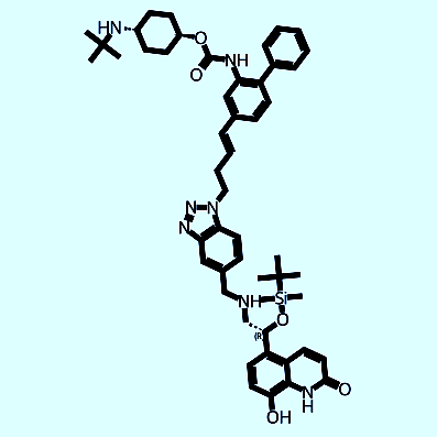 CC(C)(C)N[C@H]1CC[C@H](OC(=O)Nc2cc(C=CCCn3nnc4cc(CNC[C@H](O[Si](C)(C)C(C)(C)C)c5ccc(O)c6[nH]c(=O)ccc56)ccc43)ccc2-c2ccccc2)CC1